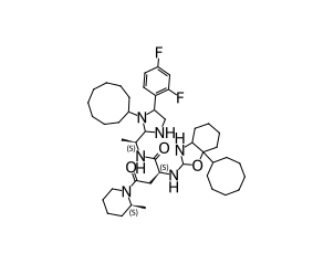 C[C@H](NC(=O)[C@H](CC(=O)N1CCCC[C@@H]1C)NC1NC2CCCCC2(C2CCCCCCC2)O1)C1NCC(c2ccc(F)cc2F)N1C1CCCCCCCC1